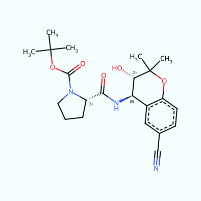 CC(C)(C)OC(=O)N1CCC[C@H]1C(=O)N[C@@H]1c2cc(C#N)ccc2OC(C)(C)[C@H]1O